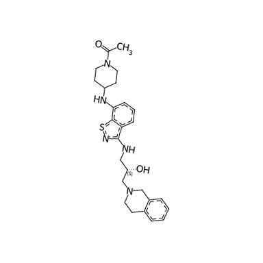 CC(=O)N1CCC(Nc2cccc3c(NC[C@H](O)CN4CCc5ccccc5C4)nsc23)CC1